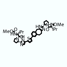 CON[C@H](C(=O)N1CCC[C@H]1c1nc2c([nH]1)Cc1ccc(-c3ccc(-c4cnc([C@@H]5CCCN5C(=O)[C@@H](NC(=O)OC)C(C)C)[nH]4)s3)cc1CC2)C(C)C